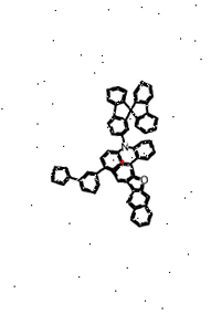 c1ccc(-c2cccc(-c3ccc(N(c4ccc5c(c4)C4(c6ccccc6-c6ccccc64)c4ccccc4-5)c4ccccc4-c4cccc5c4oc4cc6ccccc6cc45)cc3)c2)cc1